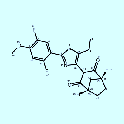 CCc1sc(-c2cc(F)c(OC)cc2F)nc1C1C(=O)[C@@H]2CC[C@@H](C2)C1=O